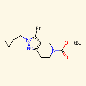 CCc1c2c(nn1CC1CC1)CCN(C(=O)OC(C)(C)C)C2